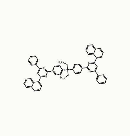 CCC(CC)(c1ccc(-c2nc(-c3ccccc3)cc(-c3cccc4ccccc34)n2)cc1)c1ccc(-c2nc(-c3ccccc3)cc(-c3cccc4ccccc34)n2)cc1